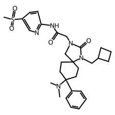 CN(C)C1(c2ccccc2)CCC2(CC1)CN(CC(=O)Nc1ccc(S(C)(=O)=O)cn1)C(=O)N2CC1CCC1